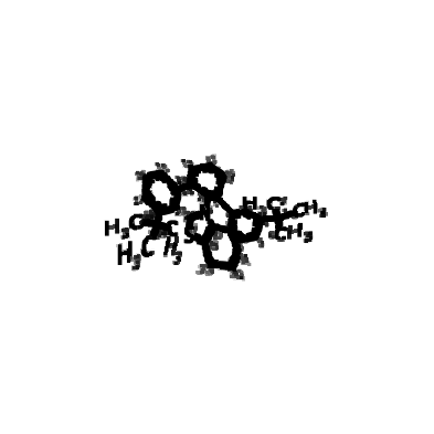 CC(C)(C)c1cccc(-c2cccc(-c3cccc(C(C)(C)C)c3)c2N2[C]SC3=C2CCCC3)c1